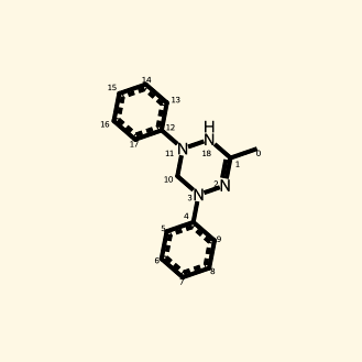 CC1=NN(c2ccccc2)CN(c2ccccc2)N1